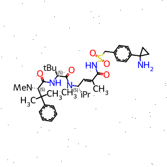 CN[C@H](C(=O)N[C@H](C(=O)N(C)[C@H](C=C(C)C(=O)NS(=O)(=O)Cc1ccc(C2(N)CC2)cc1)C(C)C)C(C)(C)C)C(C)(C)c1ccccc1